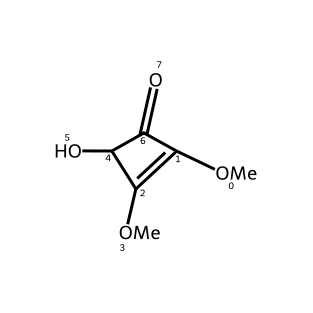 COC1=C(OC)C(O)C1=O